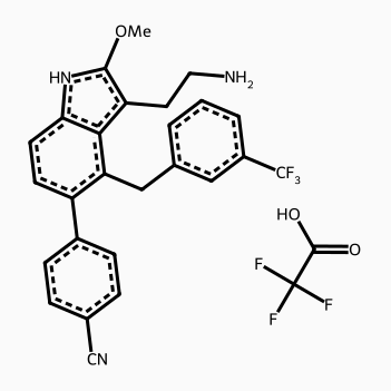 COc1[nH]c2ccc(-c3ccc(C#N)cc3)c(Cc3cccc(C(F)(F)F)c3)c2c1CCN.O=C(O)C(F)(F)F